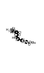 CCN(C)S(=O)(=O)Nc1ccc(Cl)c(C(=O)c2c[nH]c3ncc(-c4cnc(N5CCN(C(=O)OC(C)(C)C)CC5)nc4)cc23)c1F